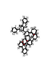 c1ccc(-c2nc(-c3cc(-c4ccccc4)c(-n4c5ccccc5c5ccc(-n6c7ccccc7c7ccccc76)cc54)c(-c4ccccc4)c3)c3sc4ccccc4c3n2)cc1